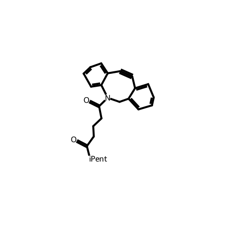 CCCC(C)C(=O)CCCC(=O)N1Cc2ccccc2C#Cc2ccccc21